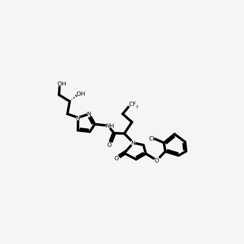 O=C(Nc1ccn(C[C@@H](O)CO)n1)C(CCC(F)(F)F)N1CC(Oc2ccccc2Cl)=CC1=O